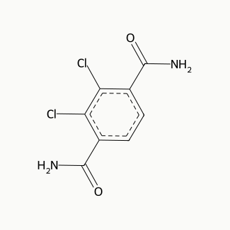 NC(=O)c1ccc(C(N)=O)c(Cl)c1Cl